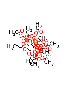 CCCC(=O)O[C@@H]1[C@H](OC(=O)CCC)[C@@H](OP(=O)(OCOC(C)=O)OCOC(C)=O)[C@H](OP(=O)(OCOC(C)=O)OCOC(C)=O)[C@@H](OP(=O)(OCOC(C)=O)OCOC(C)=O)[C@@H]1OP(=O)(OCOC(C)=O)OCOC(C)=O